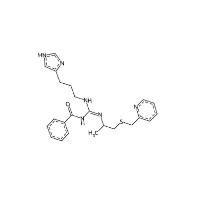 CC(CSCc1ccccn1)N=C(NCCCc1c[nH]cn1)NC(=O)c1ccccc1